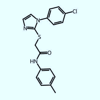 Cc1ccc(NC(=O)CSc2nccn2-c2ccc(Cl)cc2)cc1